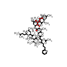 CC[C@@H](NC(=O)[C@H]([C@H](OC(C)=O)[C@H](C)CCCc1ccccn1)N(C)C(=O)[C@H](C(C)C)N(C)C(=O)[C@H](CC(C)C)N(C)C(=O)CCC(C)C)C(=O)N(C)[C@H](COC(C)=O)C(=O)N(C)[C@@H](CC(C)C)C(=O)N[C@H](C(=O)N(C)[C@@H](CC(C)C)C(N)=O)C(C)C